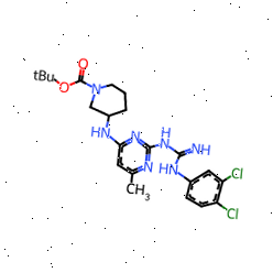 Cc1cc(NC2CCCN(C(=O)OC(C)(C)C)C2)nc(NC(=N)Nc2ccc(Cl)c(Cl)c2)n1